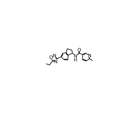 CCc1nc(-c2ccc3c(c2)CCC3NC(=O)c2ccc(C)nc2)no1